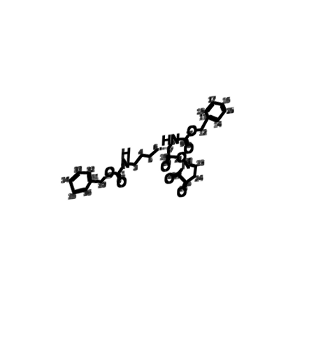 O=C(NCCCC[C@H](NC(=O)OCc1ccccc1)C(=O)ON1CCC(=O)C1=O)OCc1ccccc1